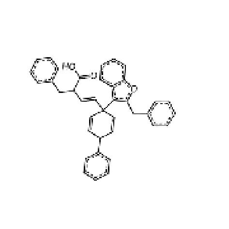 O=C(O)C(/C=C/C1(c2c(Cc3ccccc3)oc3ccccc23)C=CC(c2ccccc2)C=C1)Cc1ccccc1